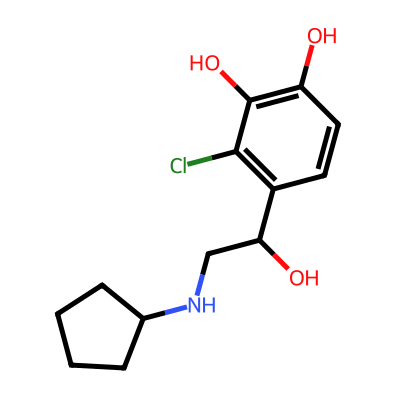 Oc1ccc(C(O)CNC2CCCC2)c(Cl)c1O